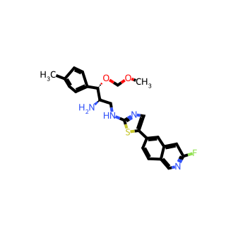 COCO[C@@H](c1ccc(C)cc1)[C@H](N)CNc1ncc(-c2ccc3cnc(F)cc3c2)s1